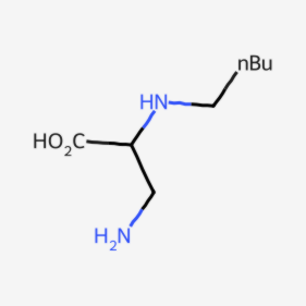 CCCCCNC(CN)C(=O)O